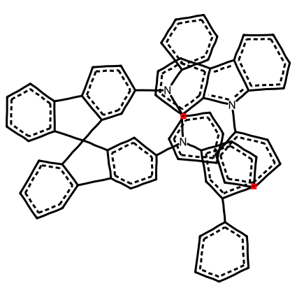 c1ccc(-c2cccc(N(c3ccc4c(c3)C3(c5ccccc5-c5ccc(N(c6ccccc6)c6ccccc6)cc53)c3ccccc3-4)c3cccc4c5ccccc5n(-c5ccccc5)c34)c2)cc1